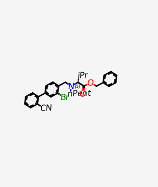 CCCCCN(Cc1ccc(-c2ccccc2C#N)cc1Br)[C@H](C(=O)OCc1ccccc1)C(C)C